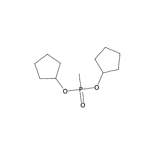 CP(=O)(OC1CCCC1)OC1CCCC1